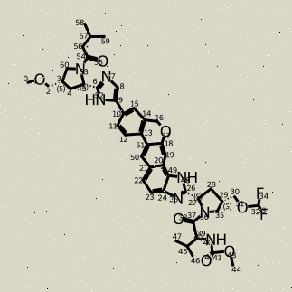 COC[C@H]1C[C@@H](c2ncc(-c3ccc4c(c3)COc3cc5c(ccc6nc([C@@H]7C[C@H](COC(F)F)CN7C(=O)[C@@H](NC(=O)OC)C(C)C)[nH]c65)cc3-4)[nH]2)N(C(=O)[CH]C(C)C)C1